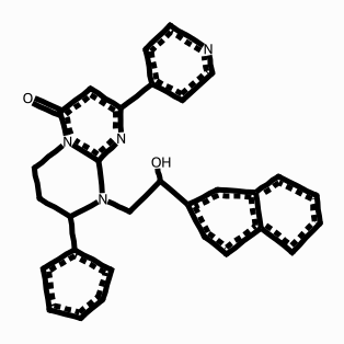 O=c1cc(-c2ccncc2)nc2n1CCC(c1ccccc1)N2CC(O)c1ccc2ccccc2c1